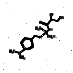 CC(C)C(CS)C(=O)NC(C)(SCc1ccc(N(C)C)cc1)C(=O)O